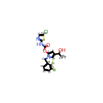 CC(C)C(O)c1cc(OC(=O)Nc2ncc(Cl)s2)n(Cc2cccc(F)c2F)c1